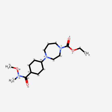 CCOC(=O)N1CCCN(C2CCC(C(=O)N(C)OC)CC2)CC1